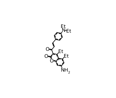 CCc1cc(N)cc2oc(=O)c(C(=O)C=Cc3ccc(N(CC)CC)cc3)c(CC)c12